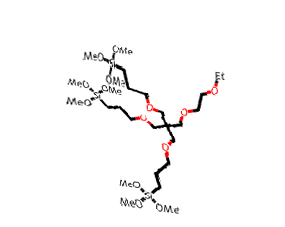 CCOCCOCC(COCCC[Si](OC)(OC)OC)(COCCC[Si](OC)(OC)OC)COCCC[Si](OC)(OC)OC